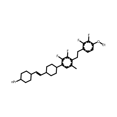 CCCC1CCC(/C=C/C2CCC(c3cc(C)c(CCc4ccc(OCC)c(F)c4F)c(F)c3F)CC2)CC1